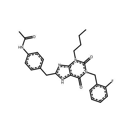 CCCCn1c(=O)n(Cc2ccccc2F)c(=O)c2[nH]c(Cc3ccc(NC(C)=O)cc3)nc21